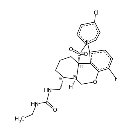 CCNC(=O)NC[C@@H]1CCC[C@@]2(S(=O)(=O)c3ccc(Cl)cc3)c3c(F)ccc(F)c3OC[C@@H]12